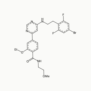 CCOc1cc(-c2cc(NCCc3c(F)cc(Br)cc3F)ncn2)ccc1C(=O)NCCOC